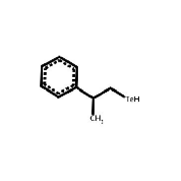 CC(C[TeH])c1ccccc1